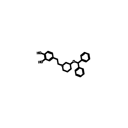 Oc1ccc(CCN2CCCC(OC(c3ccccc3)c3ccccc3)C2)cc1O